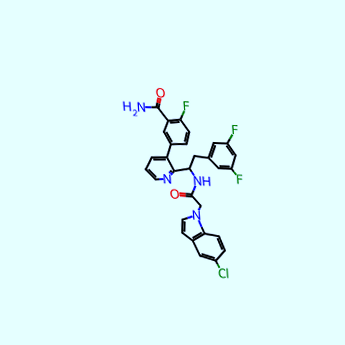 NC(=O)c1cc(-c2cccnc2C(Cc2cc(F)cc(F)c2)NC(=O)Cn2ccc3cc(Cl)ccc32)ccc1F